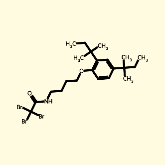 CCC(C)(C)c1ccc(OCCCCNC(=O)C(Br)(Br)Br)c(C(C)(C)CC)c1